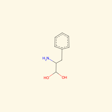 NC(Cc1ccccc1)C(O)O